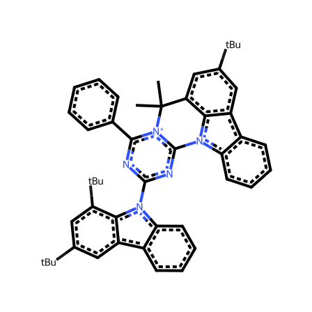 CC(C)(C)c1cc(C(C)(C)C)c2c(c1)c1ccccc1n2-c1nc(-c2ccccc2)[n+]2c(n1)-n1c3ccccc3c3cc(C(C)(C)C)cc(c31)C2(C)C